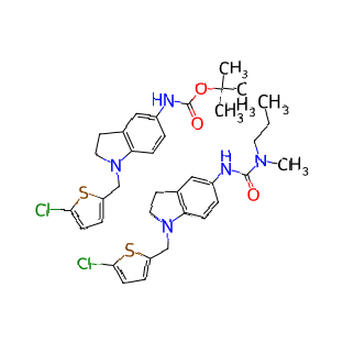 CC(C)(C)OC(=O)Nc1ccc2c(c1)CCN2Cc1ccc(Cl)s1.CCCN(C)C(=O)Nc1ccc2c(c1)CCN2Cc1ccc(Cl)s1